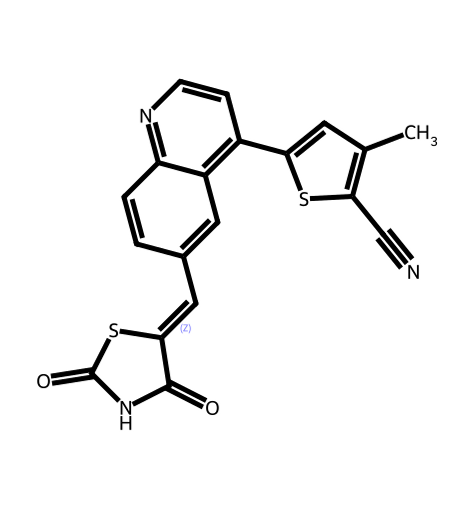 Cc1cc(-c2ccnc3ccc(/C=C4\SC(=O)NC4=O)cc23)sc1C#N